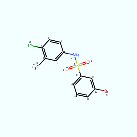 O=S(=O)(Nc1ccc(Cl)c(C(F)(F)F)c1)c1cccc(Br)c1